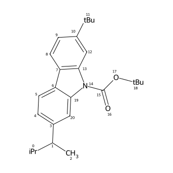 CC(C)C(C)c1ccc2c3ccc(C(C)(C)C)cc3n(C(=O)OC(C)(C)C)c2c1